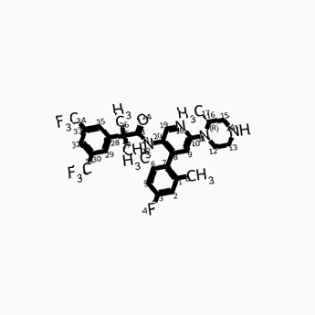 Cc1cc(F)ccc1-c1cc(N2CCNC[C@H]2C)ncc1N(C)C(=O)C(C)(C)c1cc(C(F)(F)F)cc(C(F)(F)F)c1